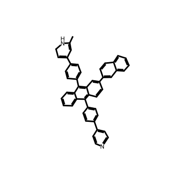 CC1=CC(c2ccc(-c3c4ccccc4c(-c4ccc(-c5ccncc5)cc4)c4ccc(-c5ccc6ccccc6c5)cc34)cc2)=CCN1